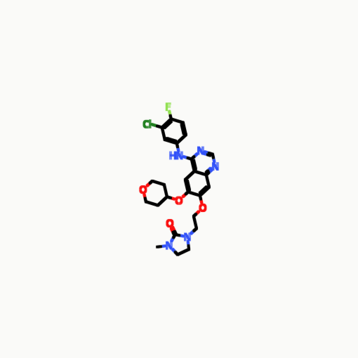 CN1CCN(CCOc2cc3ncnc(Nc4ccc(F)c(Cl)c4)c3cc2OC2CCOCC2)C1=O